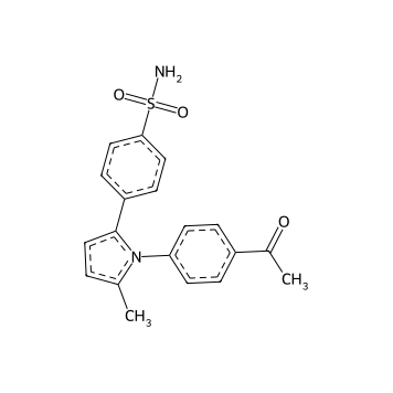 CC(=O)c1ccc(-n2c(C)ccc2-c2ccc(S(N)(=O)=O)cc2)cc1